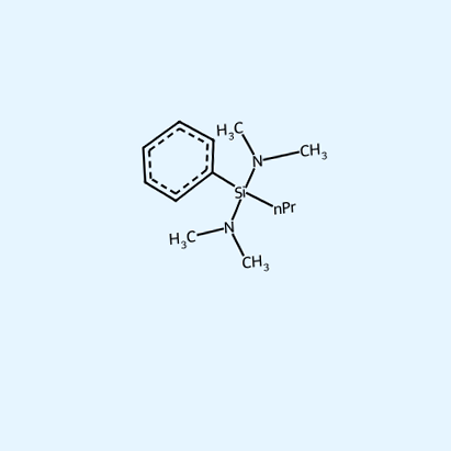 CCC[Si](c1ccccc1)(N(C)C)N(C)C